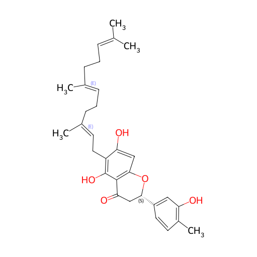 CC(C)=CCC/C(C)=C/CC/C(C)=C/Cc1c(O)cc2c(c1O)C(=O)C[C@@H](c1ccc(C)c(O)c1)O2